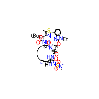 CCc1nc(-c2cccc3c2nc(O[C@@H]2C[C@H]4C(=O)N[C@]5(C(=O)NS(=O)(=O)N(C)C)C[C@H]5/C=C\CCCCC[C@H](NC(=O)OC(C)(C)C)C(=O)N4C2)n3CC)sc1C